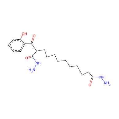 NNC(=O)CCCCCCCCCC(C(=O)NN)C(=O)c1ccccc1O